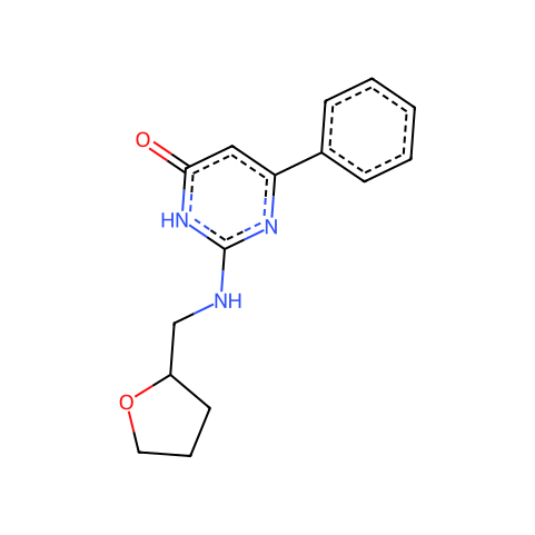 O=c1cc(-c2ccccc2)nc(NCC2CCCO2)[nH]1